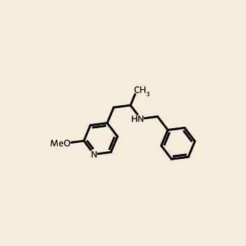 COc1cc(CC(C)NCc2ccccc2)ccn1